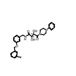 O=C(NCc1cccc(OCc2cccc(I)c2)c1)[C@H](O)[C@@H](O)C(=O)N1CCN(c2ccccc2)CC1